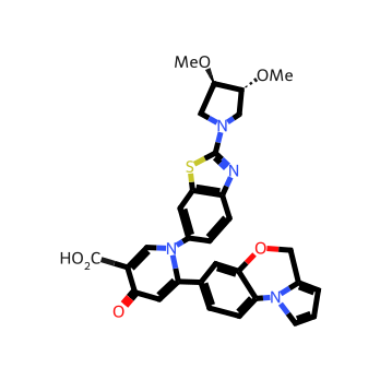 CO[C@@H]1CN(c2nc3ccc(-n4cc(C(=O)O)c(=O)cc4-c4ccc5c(c4)OCc4cccn4-5)cc3s2)C[C@H]1OC